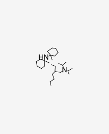 CC1(NC2(C)CCCCC2)CCCCC1.CCCCC(CC)CN(C(C)C)C(C)C